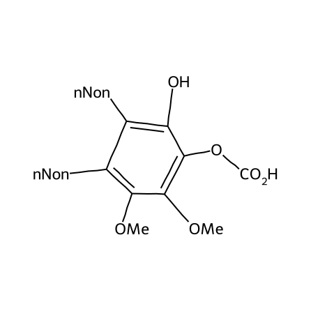 CCCCCCCCCc1c(O)c(OC(=O)O)c(OC)c(OC)c1CCCCCCCCC